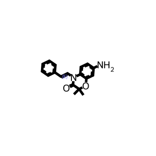 CC1(C)Oc2cc(N)ccc2N(/C=C/c2ccccc2)C1=O